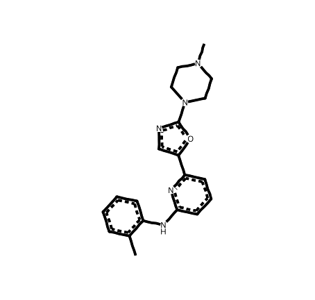 Cc1ccccc1Nc1cccc(-c2cnc(N3CCN(C)CC3)o2)n1